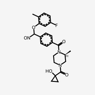 Cc1ccc(F)cc1OC(N=O)c1ccc(C(=O)N2CCN(C(=O)C3(O)CC3)C[C@@H]2C)cc1